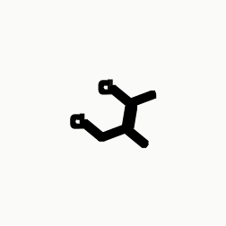 C/C(Cl)=C(\C)CCl